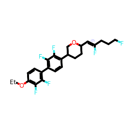 CCOc1ccc(-c2ccc(C3CCC(/C=C(\F)CCCF)OC3)c(F)c2F)c(F)c1F